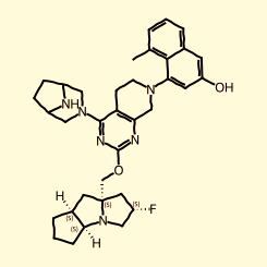 Cc1cccc2cc(O)cc(N3CCc4c(nc(OC[C@]56C[C@H](F)CN5[C@H]5CCC[C@H]5C6)nc4N4CC5CCC(C4)N5)C3)c12